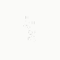 CC(C)C(=O)OCc1cc(F)c(OC(=O)S)c(F)c1